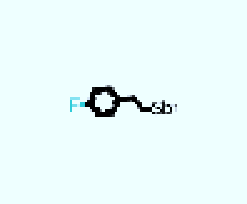 Fc1ccc(C[CH2][Sb])cc1